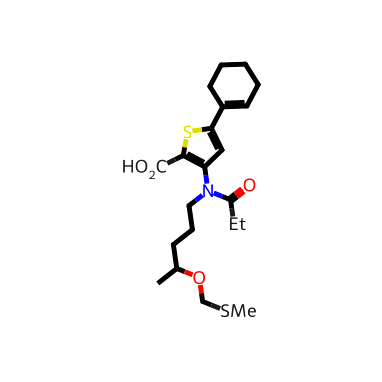 CCC(=O)N(CCCC(C)OCSC)c1cc(C2=CCCCC2)sc1C(=O)O